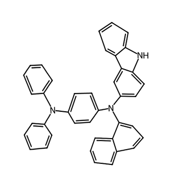 c1ccc(N(c2ccccc2)c2ccc(N(c3ccc4[nH]c5ccccc5c4c3)c3cccc4ccccc34)cc2)cc1